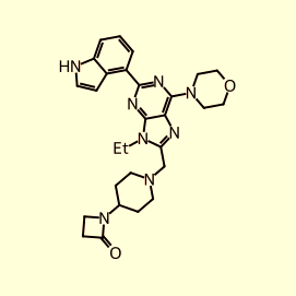 CCn1c(CN2CCC(N3CCC3=O)CC2)nc2c(N3CCOCC3)nc(-c3cccc4[nH]ccc34)nc21